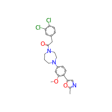 COc1cc(N2CCCN(C(=O)Cc3ccc(Cl)c(Cl)c3)CC2)ccc1-c1cnc(C)o1